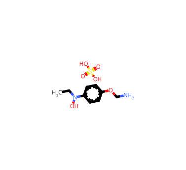 CCN(O)c1ccc(OCN)cc1.O=S(=O)(O)O